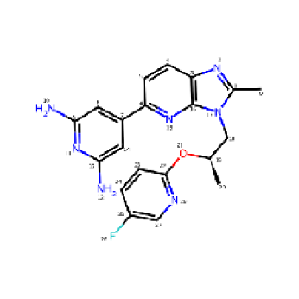 Cc1nc2ccc(-c3cc(N)nc(N)c3)nc2n1C[C@@H](C)Oc1ccc(F)cn1